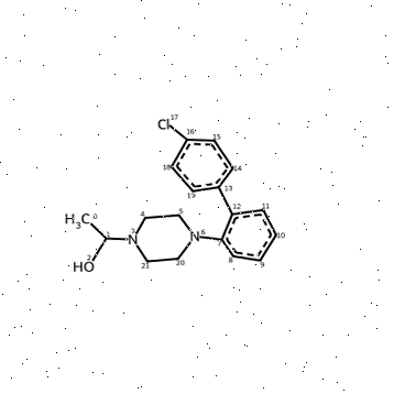 CC(O)N1CCN(c2ccccc2-c2ccc(Cl)cc2)CC1